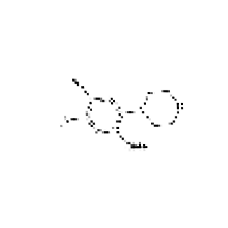 COc1cc(N)c(C(C)C)cc1N1CCOCC1